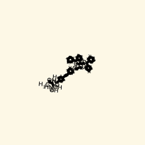 C[C@@H](O)[C@H](NC(=O)c1ccc(C#Cc2ccc(OCC3=COC(OC(c4ccccc4)c4ccccc4)=CN3OC(c3ccccc3)c3ccccc3)cc2)cc1)C(O)NO